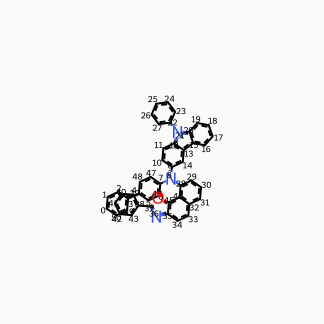 c1ccc(-c2ccc(N(c3ccc4c(c3)c3ccccc3n4-c3ccccc3)c3cccc4ccc5nc(-c6ccccc6)oc5c34)cc2)cc1